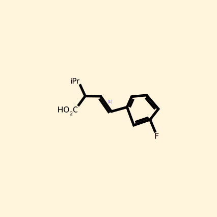 CC(C)C(/C=C/c1cccc(F)c1)C(=O)O